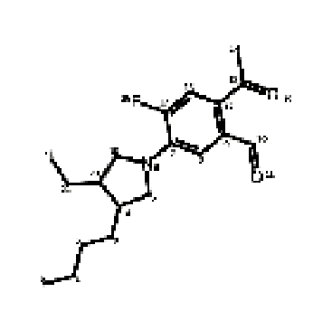 CCCCC1CN(c2cc(C=O)c(C(C)=O)cc2F)CC1CC